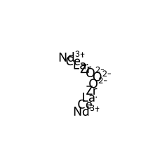 [Ce].[Ce].[La].[La].[Nd+3].[Nd+3].[O-2].[O-2].[O-2].[Zr].[Zr]